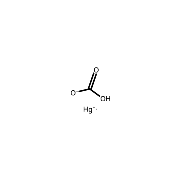 O=C([O-])O.[Hg+]